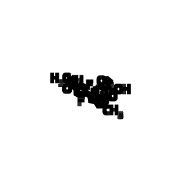 CNC(=O)c1cc(F)c(-c2cc3cc(C)cnc3n2C[C@H]2CN(C(=O)O)CCO2)c(F)c1